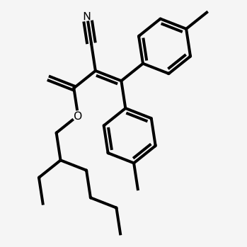 C=C(OCC(CC)CCCC)C(C#N)=C(c1ccc(C)cc1)c1ccc(C)cc1